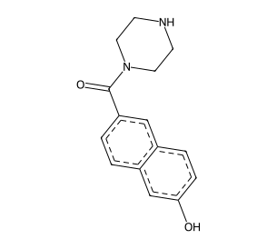 O=C(c1ccc2cc(O)ccc2c1)N1CCNCC1